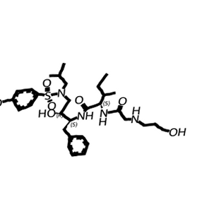 CCC(C)[C@H](NC(=O)CNCCCO)C(=O)N[C@@H](Cc1ccccc1)[C@H](O)CN(CC(C)C)S(=O)(=O)c1ccc(OC)cc1